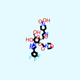 O=C(O)N1CCC(C2=NOC(C[C@H]3O[C@H](CO)[C@H](O)[C@H](n4cc(-c5cc(F)c(F)c(F)c5)nn4)[C@H]3OCC(=O)N3CCOCC3)C2)CC1